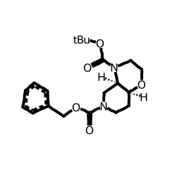 CC(C)(C)OC(=O)N1CCO[C@H]2CCN(C(=O)OCc3ccccc3)C[C@H]21